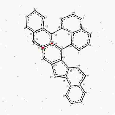 Clc1cc(-c2cccc3cccc(-c4cccc5ccccc45)c23)c2c(c1)sc1c3ccccc3ccc12